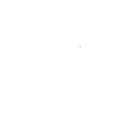 C[C@@H](C(=O)O)N(C(=O)OCC1c2ccccc2-c2ccccc21)c1ccc2ccccc2c1